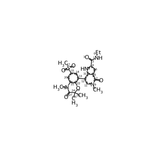 CCNC(=O)c1cc2c(=O)n(C)cc(-c3cc(S(C)(=O)=O)cc4c3OC(C)(C)C(=O)N4C)c2[nH]1